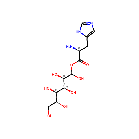 N[C@@H](Cc1cnc[nH]1)C(=O)OC(O)[C@H](O)[C@@H](O)[C@H](O)[C@H](O)CO